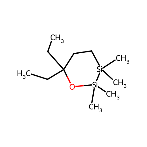 CCC1(CC)CC[Si](C)(C)[Si](C)(C)O1